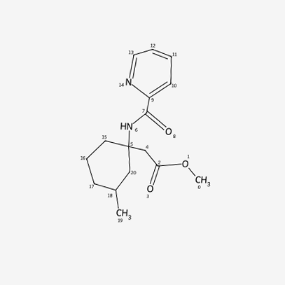 COC(=O)CC1(NC(=O)c2ccccn2)CCCC(C)C1